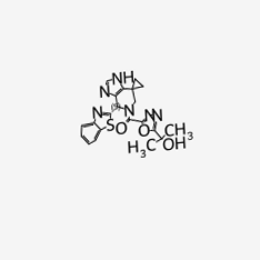 CC(C)(O)c1nnc(C(=O)N2CC3(CC3)c3[nH]cnc3[C@H]2c2nc3ccccc3s2)o1